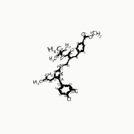 COC(=O)c1ccc(CC(CNc2nc(-c3ccc(Cl)c(Cl)c3)c(CC(C)C)s2)C(=O)OC(C)(C)C)cc1